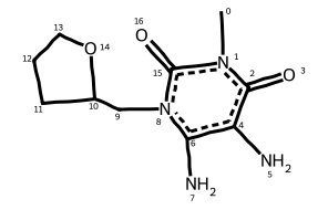 Cn1c(=O)c(N)c(N)n(CC2CCCO2)c1=O